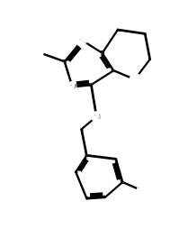 Fc1cccc(CNc2nc(F)nc3c2OCCC3)c1